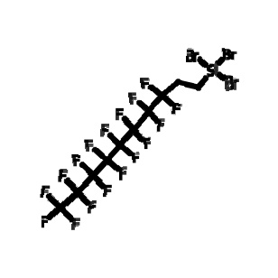 FC(F)(F)C(F)(F)C(F)(F)C(F)(F)C(F)(F)C(F)(F)C(F)(F)C(F)(F)CC[Si](Br)(Br)Br